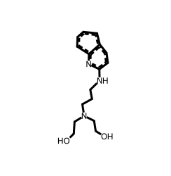 OCCN(CCO)CCCNc1ccc2ccccc2n1